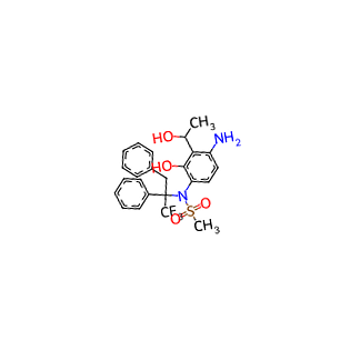 CC(O)c1c(N)ccc(N(C(Cc2ccccc2)(c2ccccc2)C(F)(F)F)S(C)(=O)=O)c1O